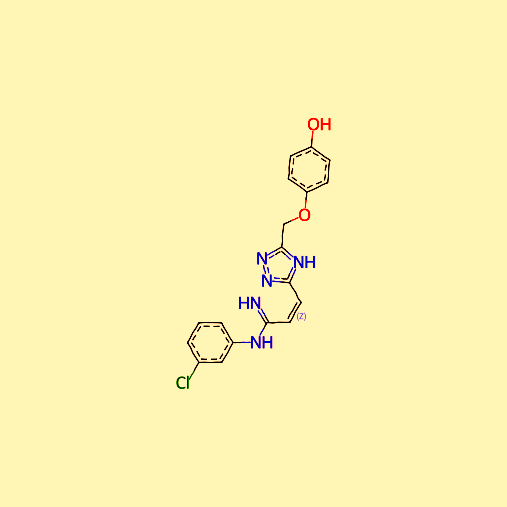 N=C(/C=C\c1nnc(COc2ccc(O)cc2)[nH]1)Nc1cccc(Cl)c1